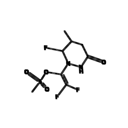 CC1CC(=O)NN(C(OS(C)(=O)=O)=C(F)F)C1F